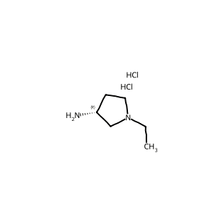 CCN1CC[C@@H](N)C1.Cl.Cl